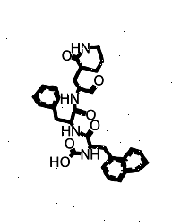 O=CC(CC1CCCNC1=O)NC(=O)C(Cc1ccccc1)NC(=O)C(Cc1cccc2ccccc12)NC(=O)O